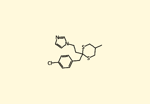 CC1CSC(CCn2ccnc2)(Cc2ccc(Cl)cc2)SC1